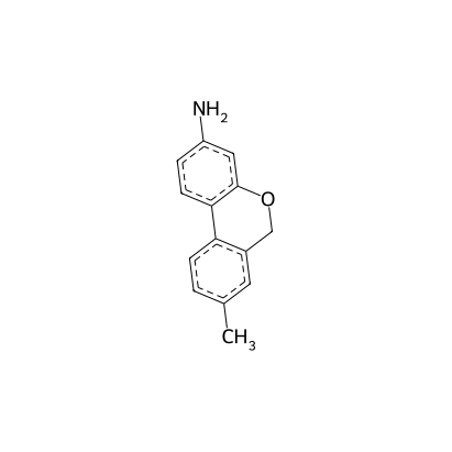 Cc1ccc2c(c1)COc1cc(N)ccc1-2